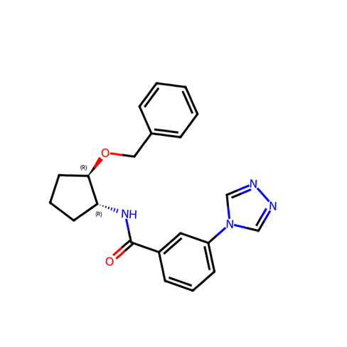 O=C(N[C@@H]1CCC[C@H]1OCc1ccccc1)c1cccc(-n2cnnc2)c1